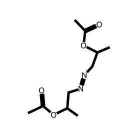 CC(=O)OC(C)CN=NCC(C)OC(C)=O